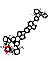 CC(C)(C)C12CCCCC1(C)c1cc(-c3ccc4c5cc6c(cc5c5cccc3c54)c3ccc(-c4ccc5c(c4)C4(C)CCCCC4(C(C)(C)C)N5c4ccccc4)c4c(-c5ccc7c(c5)C5(C)CCCCC5(C(C)(C)C)N7c5ccccc5)ccc6c43)ccc1N2c1ccccc1